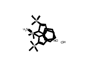 C[Si](C)(C)C1=CC2=C(CCCC2)[CH]1[Zr]([CH3])([CH3])(=[SiH2])[CH]1C([Si](C)(C)C)=CC2=C1CCCC2.Cl.Cl